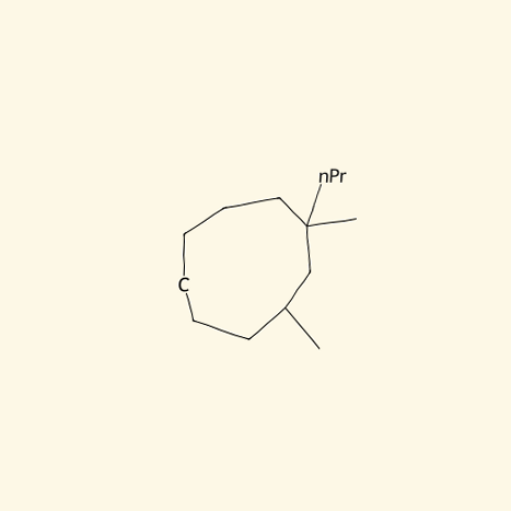 CCCC1(C)CCCCCCC(C)C1